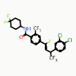 O=C(NC1CCC(F)(F)CC1)c1ccc(C(F)=CC(c2ccc(Cl)c(Cl)c2)C(F)(F)F)cc1C(F)(F)F